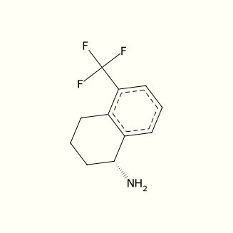 N[C@@H]1CCCc2c1cccc2C(F)(F)F